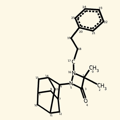 CC1(C)C(=O)N(C2C3CC4CC(C3)CC2C4)N1CCCc1ccccc1